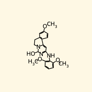 COc1ccc2c(c1)CCN1C2=CC(Nc2c(OC)cccc2OC)=NC1O